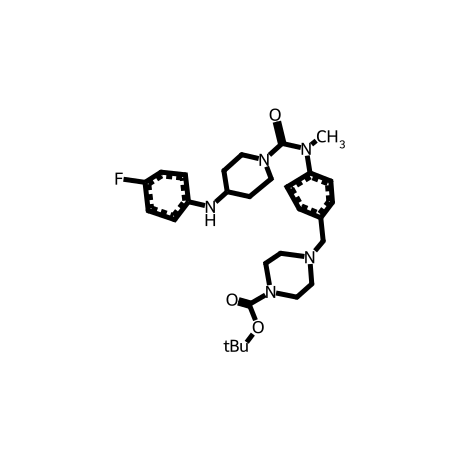 CN(C(=O)N1CCC(Nc2ccc(F)cc2)CC1)c1ccc(CN2CCN(C(=O)OC(C)(C)C)CC2)cc1